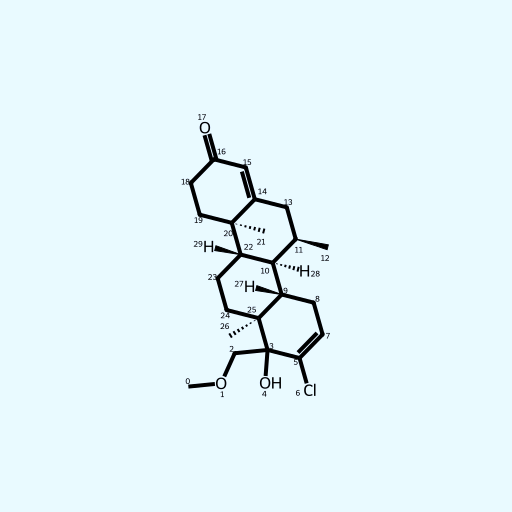 COCC1(O)C(Cl)=CC[C@H]2[C@@H]3[C@H](C)CC4=CC(=O)CC[C@]4(C)[C@H]3CC[C@@]21C